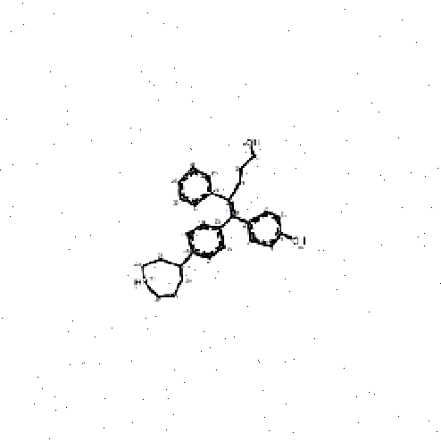 OCCC/C(=C(\c1ccc(O)cc1)c1ccc(C2CCCNCC2)cc1)c1ccccc1